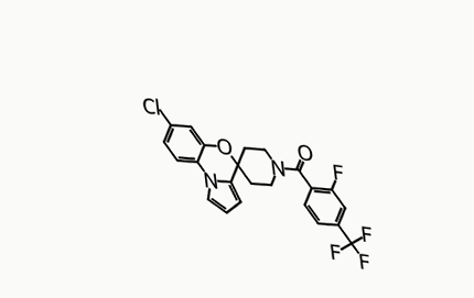 O=C(c1ccc(C(F)(F)F)cc1F)N1CCC2(CC1)Oc1cc(Cl)ccc1-n1cccc12